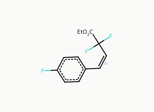 CCOC(=O)C(F)(F)/C=C\c1ccc(F)cc1